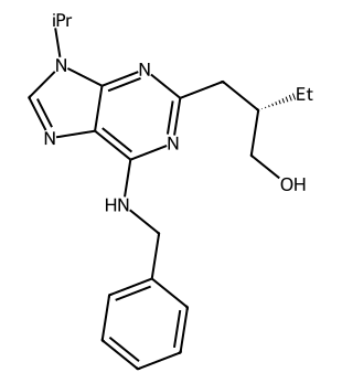 CC[C@H](CO)Cc1nc(NCc2ccccc2)c2ncn(C(C)C)c2n1